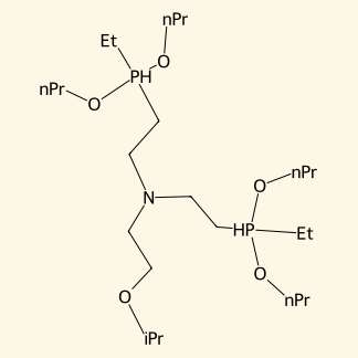 CCCO[PH](CC)(CCN(CCOC(C)C)CC[PH](CC)(OCCC)OCCC)OCCC